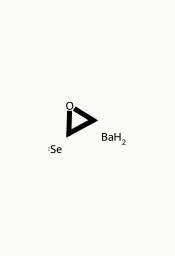 C1CO1.[BaH2].[Se]